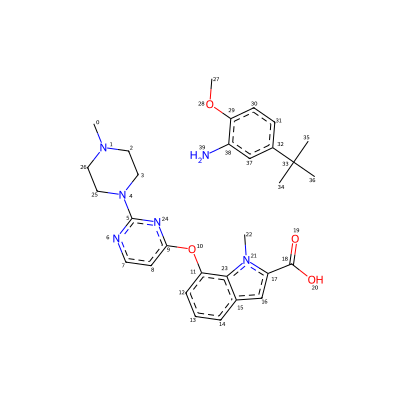 CN1CCN(c2nccc(Oc3cccc4cc(C(=O)O)n(C)c34)n2)CC1.COc1ccc(C(C)(C)C)cc1N